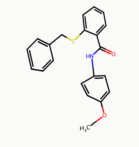 COc1ccc(NC(=O)c2ccccc2SCc2ccccc2)cc1